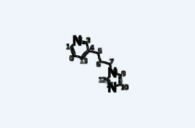 c1cncc(CCCn2ccnc2)c1